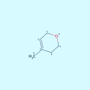 CC1=CCO[CH]C1